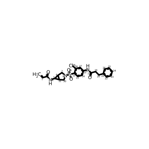 C=CC(=O)NC1C2CN(S(=O)(=O)c3ccc(NC(=O)CCc4ccccc4)cc3Cl)CC21